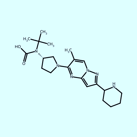 Cc1cn2nc(C3CCCCN3)cc2nc1N1CC[C@H](N(C(=O)O)C(C)(C)C)C1